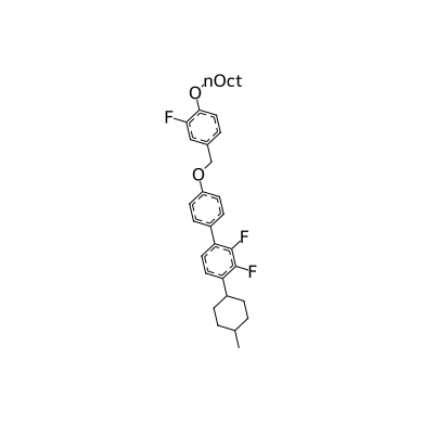 CCCCCCCCOc1ccc(COc2ccc(-c3ccc(C4CCC(C)CC4)c(F)c3F)cc2)cc1F